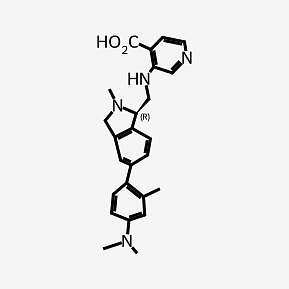 Cc1cc(N(C)C)ccc1-c1ccc2c(c1)CN(C)[C@H]2CNc1cnccc1C(=O)O